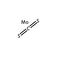 S=C=S.[Mo]